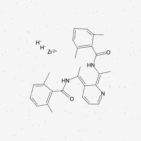 CC(NC(=O)c1c(C)cccc1C)=c1cccnc1=C(C)NC(=O)c1c(C)cccc1C.[H-].[H-].[Zr+2]